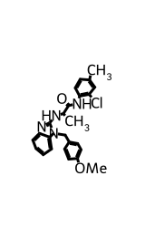 COc1ccc(Cn2c(NC(C)C(=O)Nc3ccc(C)cc3Cl)nc3ccccc32)cc1